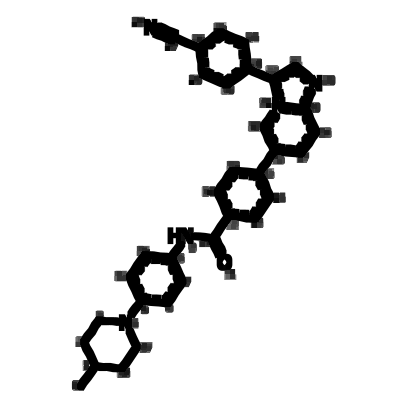 CC1CCN(c2ccc(NC(=O)c3ccc(-c4ccc5ncc(-c6ccc(C#N)cc6)n5c4)cc3)cc2)CC1